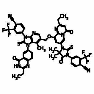 CCc1cc(=O)n2cc(N3C(=S)N(c4ccc(C#N)c(C(F)(F)F)c4)C(=O)C3(C)C)cc(OCc3cnc4c(c3C)n(-c3ccc5nc(CC)[nH]c(=O)c5c3)c(=S)n4-c3ccc(C#N)c(C(F)(F)F)c3)c2n1